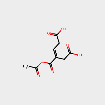 CC(=O)OC(=O)C(=CCC(=O)O)CC(=O)O